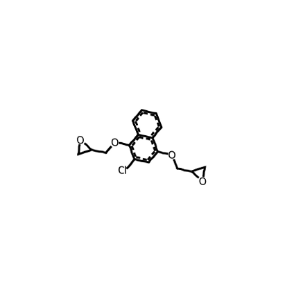 Clc1cc(OCC2CO2)c2ccccc2c1OCC1CO1